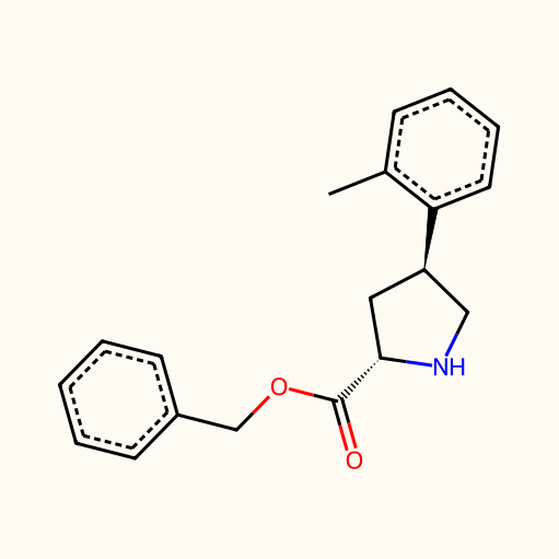 Cc1ccccc1[C@H]1CN[C@H](C(=O)OCc2ccccc2)C1